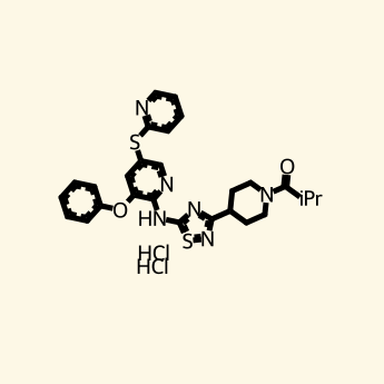 CC(C)C(=O)N1CCC(c2nsc(Nc3ncc(Sc4ccccn4)cc3Oc3ccccc3)n2)CC1.Cl.Cl